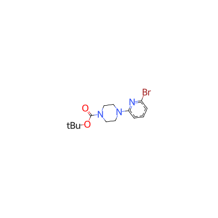 CC(C)(C)OC(=O)N1CCN(c2cccc(Br)n2)CC1